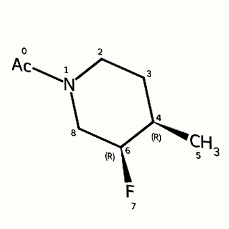 CC(=O)N1CC[C@@H](C)[C@@H](F)C1